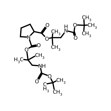 CC(C)(C)OC(=O)NCC(C)(C)OC(=O)C1CCCN1C(=O)OC(C)(C)CNC(=O)OC(C)(C)C